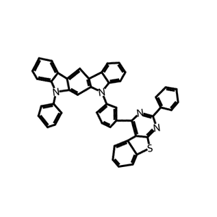 c1ccc(-c2nc(-c3cccc(-n4c5ccccc5c5cc6c7ccccc7n(-c7ccccc7)c6cc54)c3)c3c(n2)sc2ccccc23)cc1